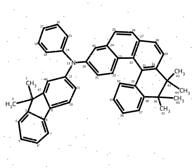 CC1(C)c2ccccc2-c2ccc(N(c3ccccc3)c3ccc4c(ccc5ccc6c(c54)-c4ccccc4C(C)(C)C6(C)C)c3)cc21